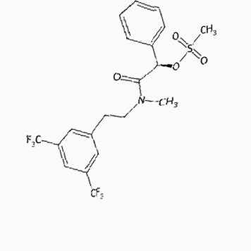 CN(CCc1cc(C(F)(F)F)cc(C(F)(F)F)c1)C(=O)[C@H](OS(C)(=O)=O)c1ccccc1